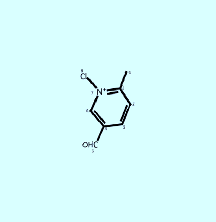 Cc1ccc(C=O)c[n+]1Cl